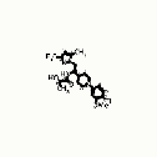 COc1cc(N2CCC(C(Cn3nc(C(F)(F)F)cc3C)NC(=O)C(C)O)CC2)ccc1Cl